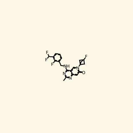 Cc1nc(NCc2cccc(C(F)F)c2F)c2cn(C34CC(F)(C3)C4)c(=O)cc2n1